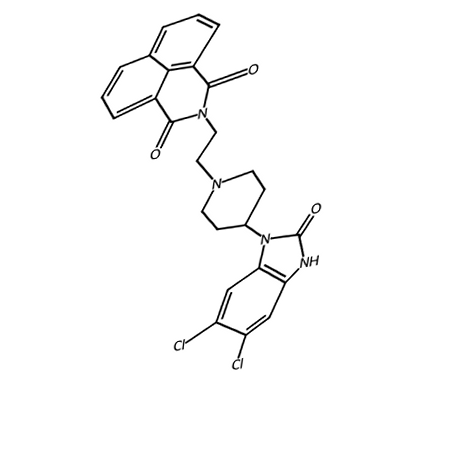 O=C1c2cccc3cccc(c23)C(=O)N1CCN1CCC(n2c(=O)[nH]c3cc(Cl)c(Cl)cc32)CC1